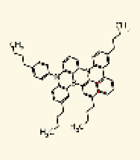 CCCCc1ccc(N2c3ccc(CCCC)cc3B3c4cc(CCCC)ccc4N(c4ccc(CCCC)cc4-c4ccccc4)c4cccc2c43)cc1